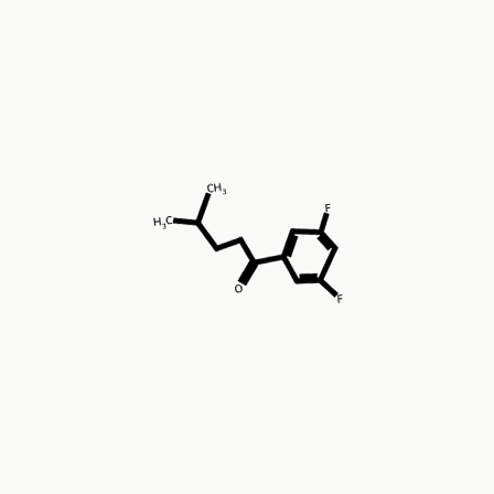 CC(C)CCC(=O)c1cc(F)cc(F)c1